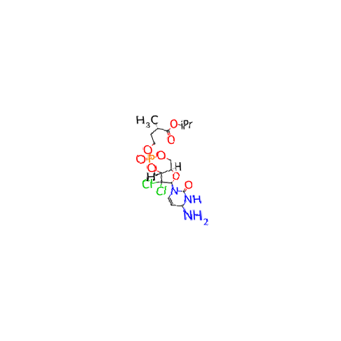 CC(C)OC(=O)[C@@H](C)CCOP1(=O)OC[C@H]2O[C@@H](N3C=CC(N)NC3=O)C(Cl)(Cl)[C@@H]2O1